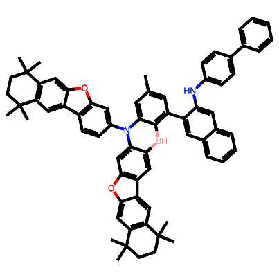 Cc1cc(-c2cc3ccccc3cc2Nc2ccc(-c3ccccc3)cc2)c2c(c1)N(c1ccc3c(c1)oc1cc4c(cc13)C(C)(C)CCC4(C)C)c1cc3oc4cc5c(cc4c3cc1B2)C(C)(C)CCC5(C)C